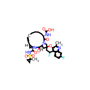 Cc1nc2cc(F)ccc2c2c1OC1(CC2F)C[C@H]2C(=O)N[C@]3(C(=O)NS(=O)(=O)C4(C)CC4)C[C@H]3/C=C\CCCCC[C@H](NC(=O)O)C(=O)N2C1